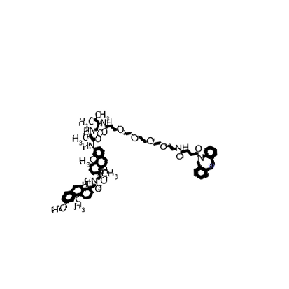 CC(C)[C@H](NC(=O)CCOCCOCCOCCOCCNC(=O)CCC(=O)N1Cc2ccccc2/C=C\c2ccccc21)C(=O)N[C@@H](C)C(=O)Nc1ccc2c(c1)[C@@]1(C)CCC[C@](C)(C(=O)NC(=O)[C@@]3(C)CCC[C@]4(C)c5cc(O)ccc5CC[C@@H]34)[C@@H]1CC2